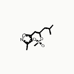 Cc1cc(CC(CC(C)C)OS(C)(=O)=O)on1